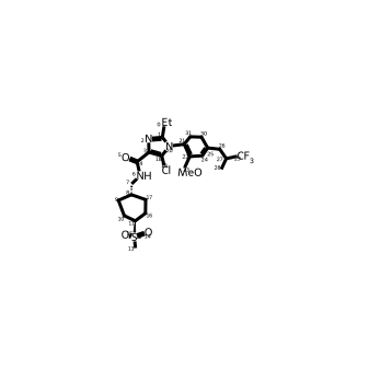 CCc1nc(C(=O)NC[C@H]2CC[C@H](S(C)(=O)=O)CC2)c(Cl)n1C1=C(OC)C=C(CC(C)C(F)(F)F)CC1